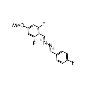 COc1cc(F)c(/C=N/N=C/c2ccc(F)cc2)c(F)c1